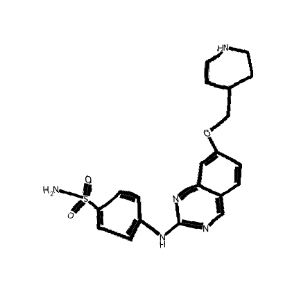 NS(=O)(=O)c1ccc(Nc2ncc3ccc(OCC4CCNCC4)cc3n2)cc1